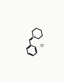 C(c1ccccc1)=[N+]1CCCCC1.[Cl-]